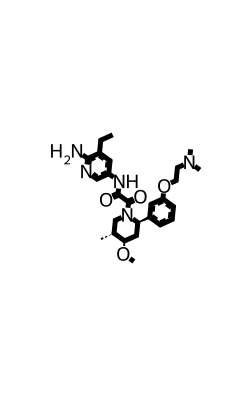 CCc1cc(NC(=O)C(=O)N2C[C@@H](C)[C@@H](OC)C[C@@H]2c2cccc(OCCN(C)C)c2)cnc1N